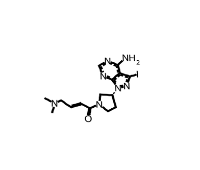 CN(C)CC=CC(=O)N1CC[C@@H](n2nc(I)c3c(N)ncnc32)C1